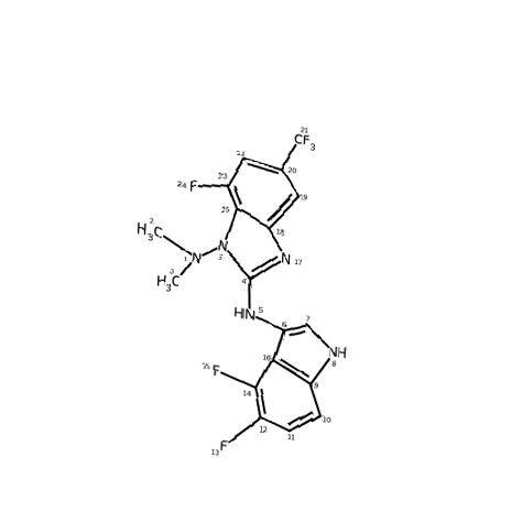 CN(C)n1c(Nc2c[nH]c3ccc(F)c(F)c23)nc2cc(C(F)(F)F)cc(F)c21